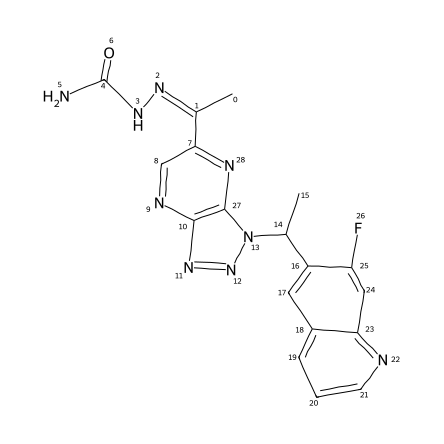 C/C(=N/NC(N)=O)c1cnc2nnn(C(C)c3cc4cccnc4cc3F)c2n1